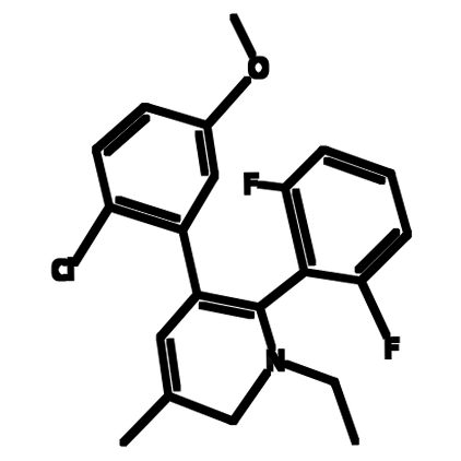 CCN1CC(C)=CC(c2cc(OC)ccc2Cl)=C1c1c(F)cccc1F